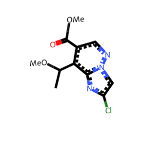 COC(=O)c1cnn2cc(Cl)nc2c1C(C)OC